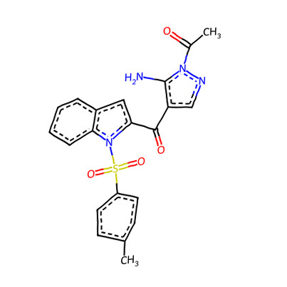 CC(=O)n1ncc(C(=O)c2cc3ccccc3n2S(=O)(=O)c2ccc(C)cc2)c1N